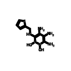 NC1=C(N)N(O)N(O)C(NCc2cccs2)=C1N